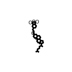 CC(C)CCCC(C)C1CCC2C3CCC4CC(OCCC5CCC6C(=O)OC(=O)C6C5)CCC4(C)C3CCC12C